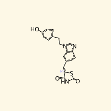 O=C1NC(=O)/C(=C/c2ccc3ncn(CCc4ccc(O)cc4)c3c2)S1